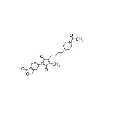 CC(=O)N1CCN(CCCCC2=C(C)C(=O)N(c3ccc4c(c3)COC4=O)C2=O)CC1